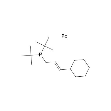 CC(C)(C)P(CC=CC1CCCCC1)C(C)(C)C.[Pd]